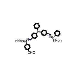 CCCCCCCCCN(/N=C/c1ccc(N(c2ccccc2)c2ccc(/C=N/N(CCCCCCCCC)c3ccc(C=O)cc3)cc2)cc1)c1ccccc1